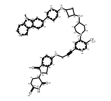 Cn1c2ccncc2c2ccc(-c3ccc(OC4CC(OC5CCN(c6cc(C#CCOc7ccc8c(c7)CN(C7CCC(=O)NC7=O)C8=O)ncc6C(F)(F)F)CC5)C4)nc3)cc21